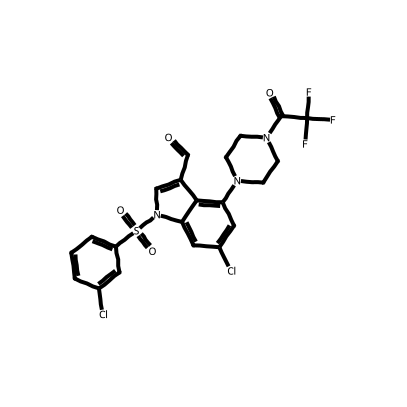 O=Cc1cn(S(=O)(=O)c2cccc(Cl)c2)c2cc(Cl)cc(N3CCN(C(=O)C(F)(F)F)CC3)c12